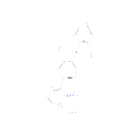 CC(C)(c1ccccc1)c1ccc(C2=CC=CN3CCSN=C23)cc1